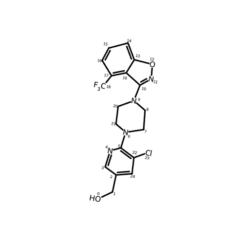 OCc1cnc(N2CCN(c3noc4cccc(C(F)(F)F)c34)CC2)c(Cl)c1